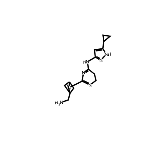 NCC12CC(C1)N(C1=NCCC(Nc3cc(C4CC4)[nH]n3)=N1)C2